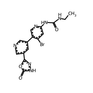 CCNC(=O)Nc1cc(Br)c(-c2cncc(-c3n[nH]c(=O)o3)c2)cn1